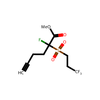 C#CCCC(F)(C(=O)OC)S(=O)(=O)CCC(F)(F)F